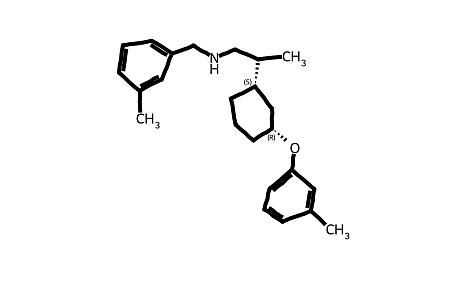 Cc1cccc(CNCC(C)[C@H]2CCC[C@@H](Oc3cccc(C)c3)C2)c1